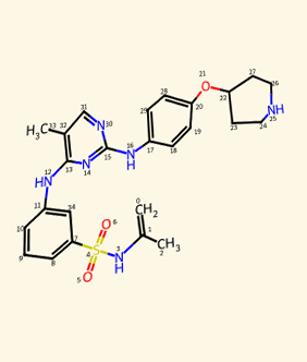 C=C(C)NS(=O)(=O)c1cccc(Nc2nc(Nc3ccc(OC4CCNCC4)cc3)ncc2C)c1